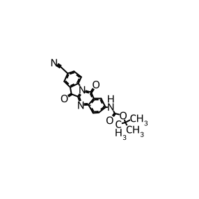 CC(C)(C)OC(=O)Nc1ccc2nc3n(c(=O)c2c1)-c1ccc(C#N)cc1C3=O